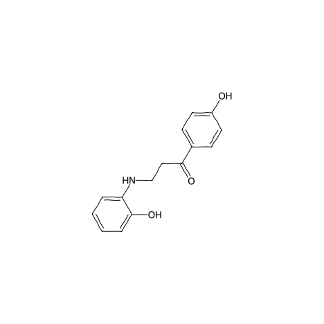 O=C(CCNc1ccccc1O)c1ccc(O)cc1